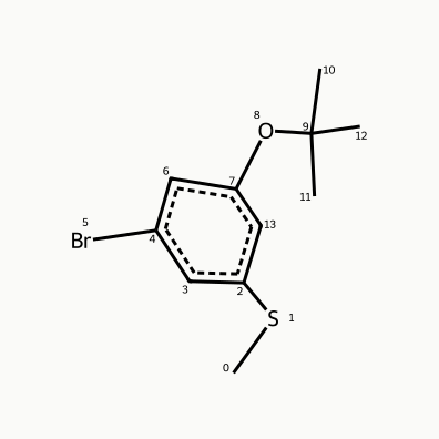 CSc1cc(Br)cc(OC(C)(C)C)c1